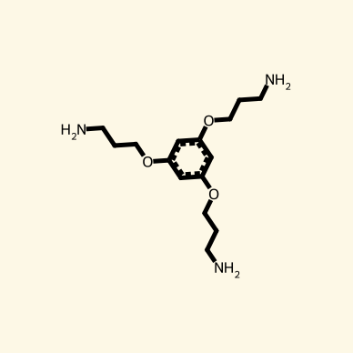 NCCCOc1cc(OCCCN)cc(OCCCN)c1